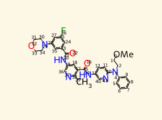 COCCN(c1ccccc1)c1ccc(NC(=O)c2cc(NC(=O)c3cc(F)cc(N4CCOCC4)c3)cnc2C)cn1